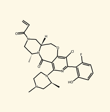 C=CC(=O)N1C[C@@H]2COc3c(Cl)c(-c4c(O)cccc4F)nc(N4CCN(C)C[C@@H]4C)c3C(=O)N2[C@H](C)C1